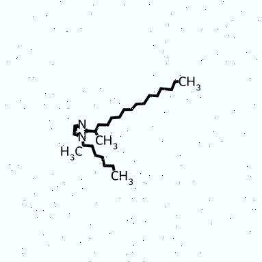 CCCCCCCCCCCCCCC(C)c1nccn1C(C)CCCCCC